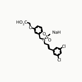 CS(=O)(=O)N(CC=Cc1cc(Cl)cc(Cl)c1)Cc1cccc(OCC(=O)O)c1.[NaH]